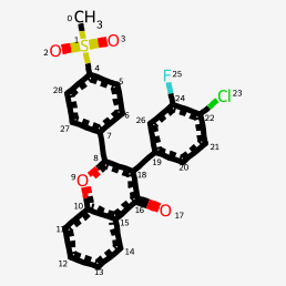 CS(=O)(=O)c1ccc(-c2oc3ccccc3c(=O)c2-c2ccc(Cl)c(F)c2)cc1